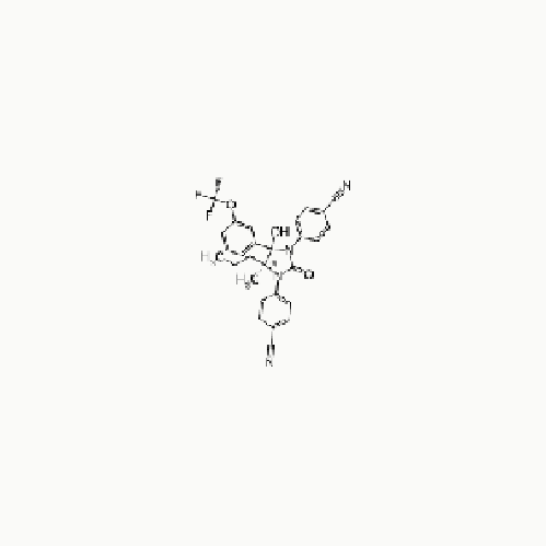 CCC[C@]1(C)N(c2ccc(C#N)cc2)C(=O)N(c2ccc(C#N)cc2)C1(O)c1cccc(OC(F)(F)F)c1